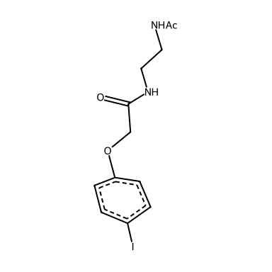 CC(=O)NCCNC(=O)COc1ccc(I)cc1